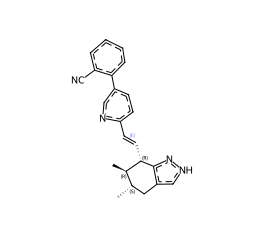 C[C@H]1[C@H](/C=C/c2ccc(-c3ccccc3C#N)cn2)c2n[nH]cc2C[C@@H]1C